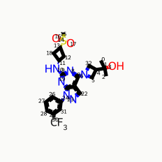 CC(C)(O)C1CN(c2nc(N[C@H]3C[C@H](S(C)(=O)=O)C3)nc3c2cnn3-c2cccc(C(F)(F)F)c2)C1